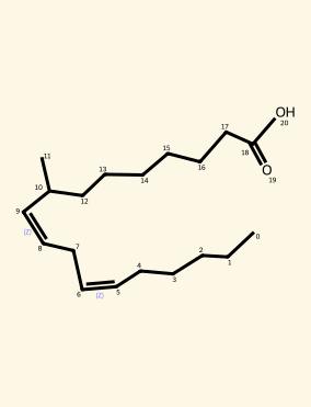 CCCCC/C=C\C/C=C\C(C)CCCCCCC(=O)O